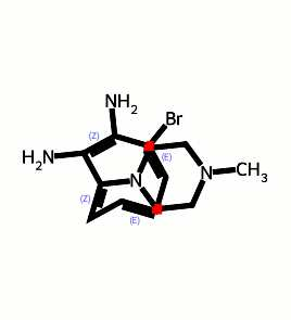 CN1CCN(C2=C\C=C\C=C(Br)/C(N)=C\2N)CC1